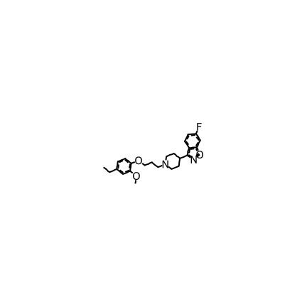 CCc1ccc(OCCCN2CCC(c3noc4cc(F)ccc34)CC2)c(OC)c1